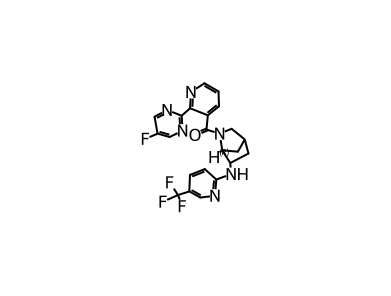 O=C(c1cccnc1-c1ncc(F)cn1)N1CC2CC(Nc3ccc(C(F)(F)F)cn3)[C@H]1C2